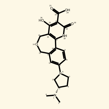 CN(C)[C@H]1CCN(c2ccc3c(c2)COCc2c-3[nH]c(=O)c(C(=O)O)c2O)C1